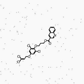 O=C(OCCCOc1c(Cl)cc(OCC=C(Cl)Cl)cc1Cl)c1cnc2ccccc2c1